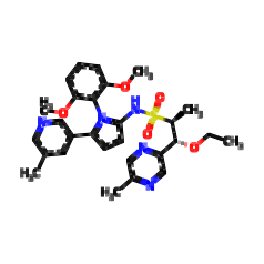 CCO[C@H](c1cnc(C)cn1)[C@H](C)S(=O)(=O)Nc1ccc(-c2cncc(C)c2)n1-c1c(OC)cccc1OC